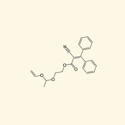 C=COC(C)OCCOC(=O)C(C#N)=C(c1ccccc1)c1ccccc1